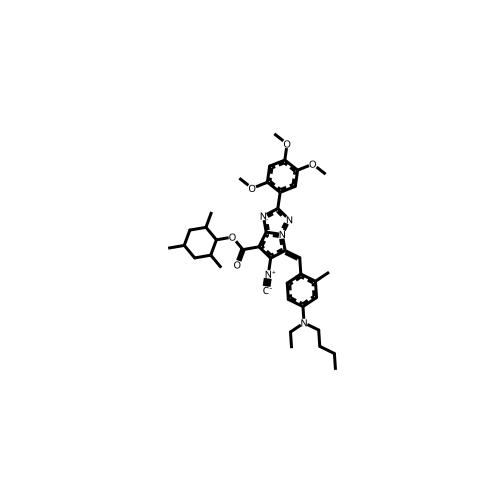 [C-]#[N+]c1c(C(=O)OC2C(C)CC(C)CC2C)c2nc(-c3cc(OC)c(OC)cc3OC)nn2/c1=C/c1ccc(N(CC)CCCC)cc1C